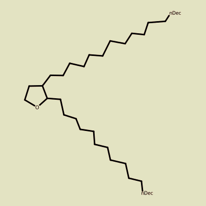 CCCCCCCCCCCCCCCCCCCCCC[C]1CCOC1CCCCCCCCCCCCCCCCCCCCC